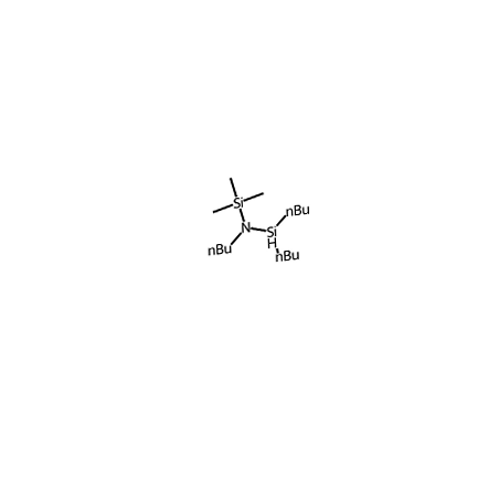 CCCCN([SiH](CCCC)CCCC)[Si](C)(C)C